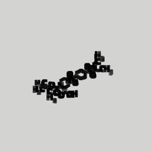 CCN(CC)S(=O)(=O)c1ccc(S(=O)(=O)N2CCN(C(=O)OC(C)(C)C)[C@@H](C(=O)O)C2)cc1